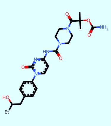 CCC(O)Cc1ccc(-n2ccc(NC(=O)N3CCN(C(=O)C(C)(C)OC(N)=O)CC3)nc2=O)cc1